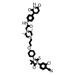 C[C@@H]1CN(CCCO[C@H]2CC[C@H](N3C(=S)N(c4ccc(C#N)c(Cl)c4)C(=O)C3(C)C)CC2)C[C@H](C)N1CC(=O)Nc1ccc(C2CCC(=O)NC2=O)cc1